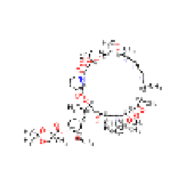 CO[C@H]1C[C@@H]2CC[C@@H](C)[C@@](O)(O2)C(=O)C(=O)N2CCCC[C@H]2C(=O)O[C@H]([C@H](C)C[C@@H]2CC[C@@H](OC(=O)C3(C)COC(C)(C)OC3)[C@H](O[13CH3])C2)CC(=O)[C@H](C)/C=C(\C)[C@@H](O[Si](C)(C)C)[C@@H](OC)C(=O)[C@H](C)C[C@H](C)/C=C/C=C/C=C/1C